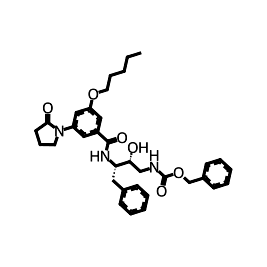 CCCCCOc1cc(C(=O)N[C@@H](Cc2ccccc2)[C@H](O)CNC(=O)OCc2ccccc2)cc(N2CCCC2=O)c1